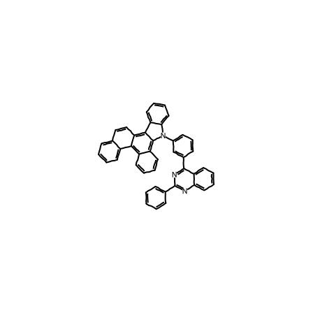 c1ccc(-c2nc(-c3cccc(-n4c5ccccc5c5c6ccc7ccccc7c6c6ccccc6c54)c3)c3ccccc3n2)cc1